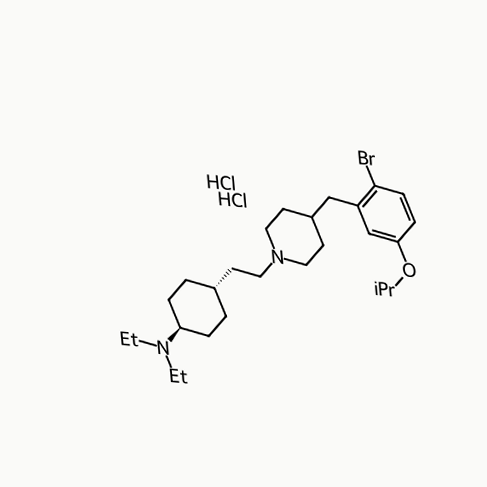 CCN(CC)[C@H]1CC[C@H](CCN2CCC(Cc3cc(OC(C)C)ccc3Br)CC2)CC1.Cl.Cl